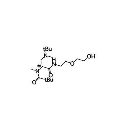 CN(C(=O)C(C)(C)C)[C@H](CN(C)C(C)(C)C)C(=O)NCCOCCO